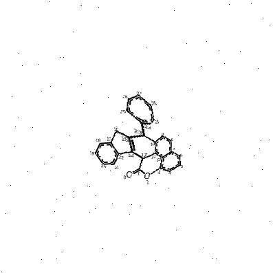 O=C1Oc2cccc3ccc4c(c23)C1C1=C(Cc2ccccc21)C4c1ccccc1